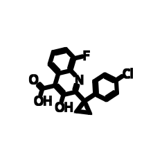 O=C(O)c1c(O)c(C2(c3ccc(Cl)cc3)CC2)nc2c(F)cccc12